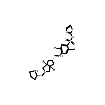 O=S(=O)(Nc1nccs1)c1cc(Cl)c(NC[C@@H]2C[C@@H]3CN(C[C@@H]4CCCN4)C[C@@H]3C2)cc1F